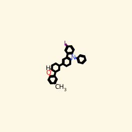 Cc1ccc2c(c1)C1CC(C3=Cc4c(n(-c5ccccc5)c5ccc(I)cc45)CC3)CC[C@@H]1O2